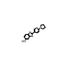 Oc1ccc2nc(-c3ccc(N4CCCC4)nc3)sc2c1